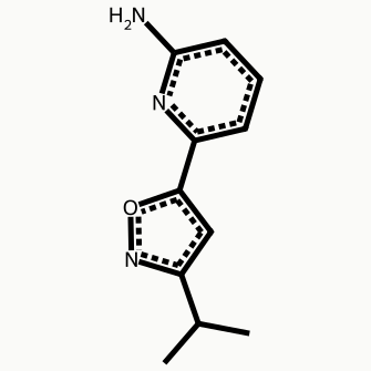 CC(C)c1cc(-c2cccc(N)n2)on1